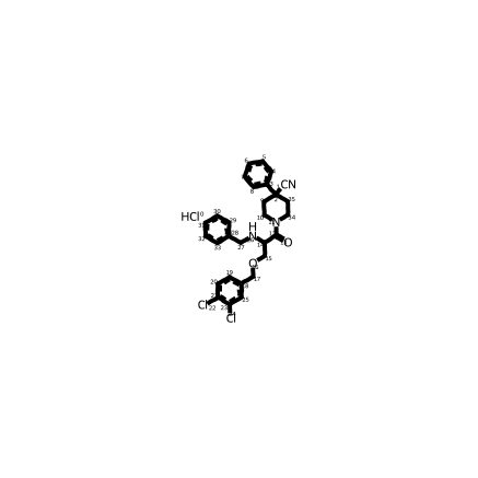 Cl.N#CC1(c2ccccc2)CCN(C(=O)C(COCc2ccc(Cl)c(Cl)c2)NCc2ccccc2)CC1